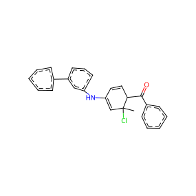 CC1(Cl)C=C(Nc2cccc(-c3ccccc3)c2)C=CC1C(=O)c1ccccc1